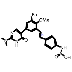 COc1c(/C=C/c2ccc(NS(=O)O)cc2)cc(-c2cnc(N(C)C)[nH]c2=O)cc1C(C)(C)C